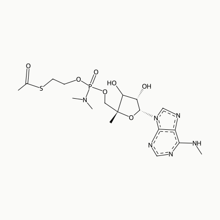 CNc1ncnc2c1ncn2[C@@H]1O[C@](C)(COP(=O)(OCCSC(C)=O)N(C)C)C(O)[C@@H]1O